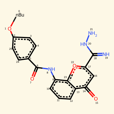 CCCCOc1ccc(C(=O)Nc2cccc3c(=O)cc(C(=N)NN)oc23)cc1